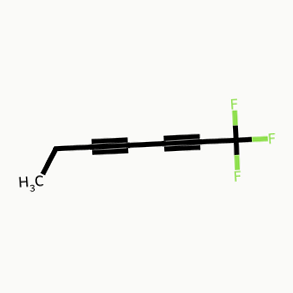 CCC#CC#CC(F)(F)F